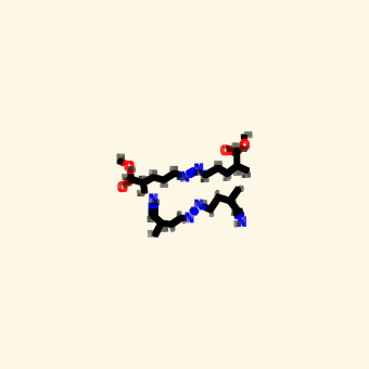 CC(C#N)CCN=NCCC(C)C#N.COC(=O)C(C)CCCN=NCCCC(C)C(=O)OC